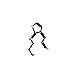 C=C/C=C1/C=CO/C1=N/CCC(C)C